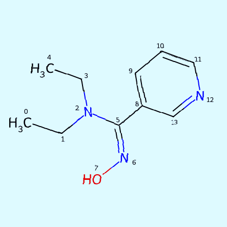 CCN(CC)C(=NO)c1cccnc1